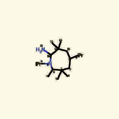 CC(C)C1CC(C)(C)C(C)N(C(C)C)C(N)C(C)(C)C1